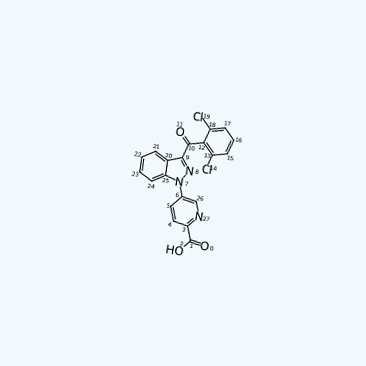 O=C(O)c1ccc(-n2nc(C(=O)c3c(Cl)cccc3Cl)c3ccccc32)cn1